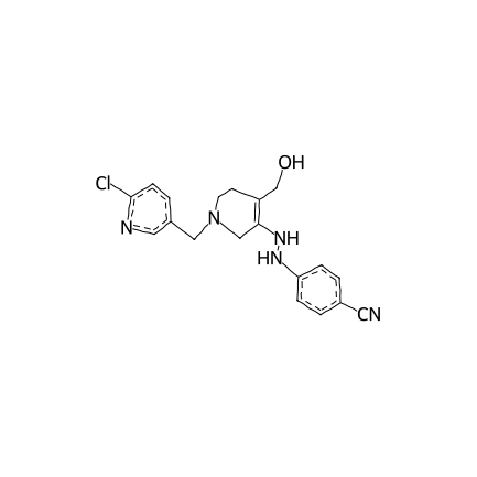 N#Cc1ccc(NNC2=C(CO)CCN(Cc3ccc(Cl)nc3)C2)cc1